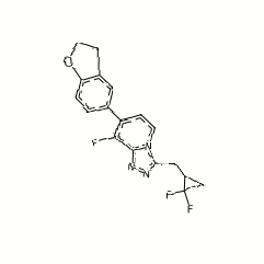 Fc1c(-c2ccc3c(c2)CCO3)ccn2c(CC3CC3(F)F)nnc12